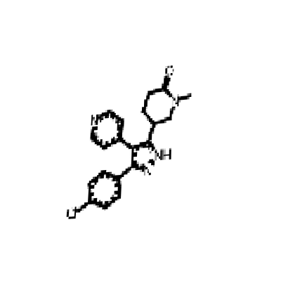 CN1CC(c2[nH]nc(-c3ccc(Cl)cc3)c2-c2ccncc2)CCC1=O